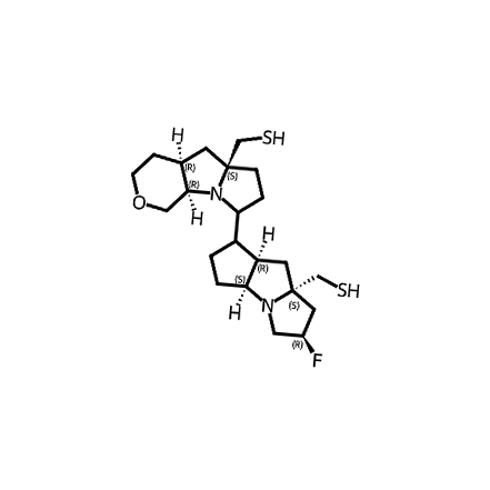 F[C@H]1CN2[C@H]3CCC(C4CC[C@@]5(CS)C[C@@H]6CCOC[C@@H]6N45)[C@H]3C[C@@]2(CS)C1